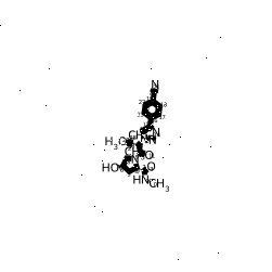 CNC(=O)[C@@H]1C[C@@H](O)CN1C(=O)[C@@H](n1cc(-c2ccc(C#N)cc2)nn1)C(C)(C)C